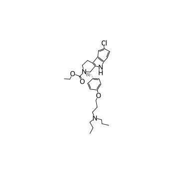 CCCN(CCC)CCCOc1ccc([C@H]2c3[nH]c4ccc(Cl)cc4c3CCN2C(=O)OCC)cc1